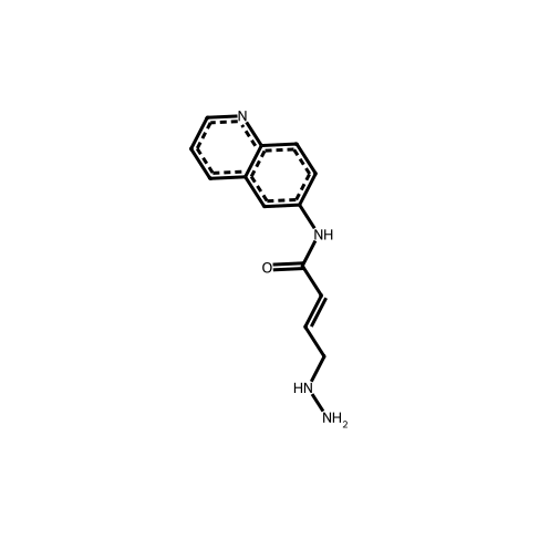 NNCC=CC(=O)Nc1ccc2ncccc2c1